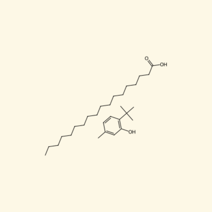 CCCCCCCCCCCCCCCCCC(=O)O.Cc1ccc(C(C)(C)C)c(O)c1